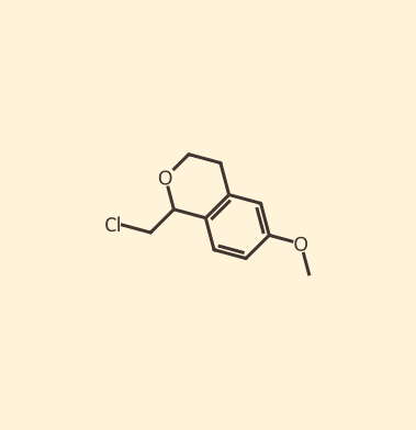 COc1ccc2c(c1)CCOC2CCl